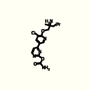 CC(C)CC(C)(N)COc1ncc(-c2ccnc(OC(N)=O)n2)cc1Cl